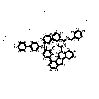 C=N/C(=N\C(=N/Cc1ccccc1)c1ccccc1)c1cc2c(c3ccccc13)Cc1cccc(-c3ccc(N(c4ccccc4)c4ccc(-c5ccccc5)cc4)cc3)c1-2